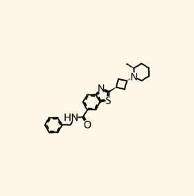 C[C@H]1CCCCN1[C@H]1C[C@H](c2nc3ccc(C(=O)NCc4ccccc4)cc3s2)C1